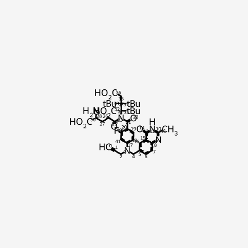 C#CCN(Cc1ccc2nc(C)[nH]c(=O)c2c1)c1ccc(C(=O)N(C(=O)CC[C@H](N)C(=O)O)[C@](C(=O)O)(C(C)(C)C)C(CC(=O)O)(C(C)(C)C)C(C)(C)C)c(F)c1